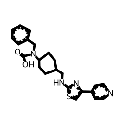 O=C(O)N(Cc1ccccc1)C1CCC(CNc2nc(-c3ccncc3)cs2)CC1